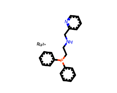 [Ru+2].c1ccc(P(CCNCc2ccccn2)c2ccccc2)cc1